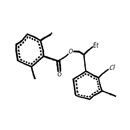 CCC(OC(=O)c1c(C)cccc1C)c1cccc(C)c1Cl